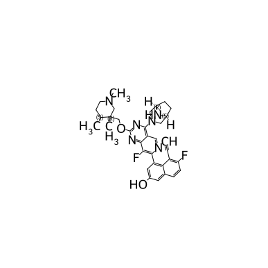 C#Cc1c(F)ccc2cc(O)cc(-c3ncc4c(N5C[C@H]6CC[C@@H](C5)N6)nc(OC[C@@]5(C)CN(C)CC[C@@H]5C)nc4c3F)c12